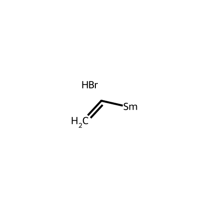 Br.C=[CH][Sm]